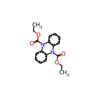 CCOC(=O)N1c2ccccc2N(C(=O)OCC)c2ccccc21